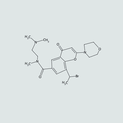 CC(Br)c1cc(C(=O)N(C)CCN(C)C)cc2c(=O)cc(N3CCOCC3)oc12